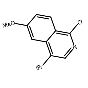 COc1ccc2c(Cl)ncc(C(C)C)c2c1